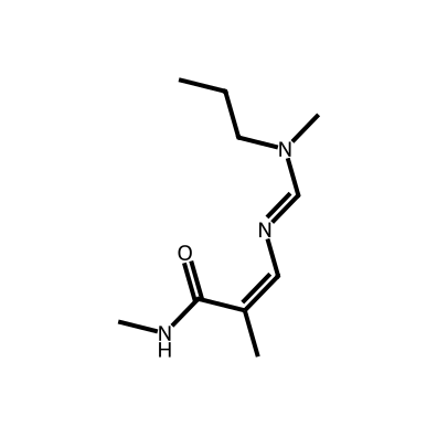 CCCN(C)/C=N/C=C(/C)C(=O)NC